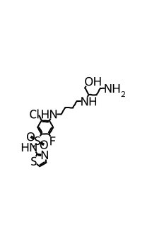 NCCC(CO)NCCCCNc1cc(F)c(S(=O)(=O)Nc2nccs2)cc1Cl